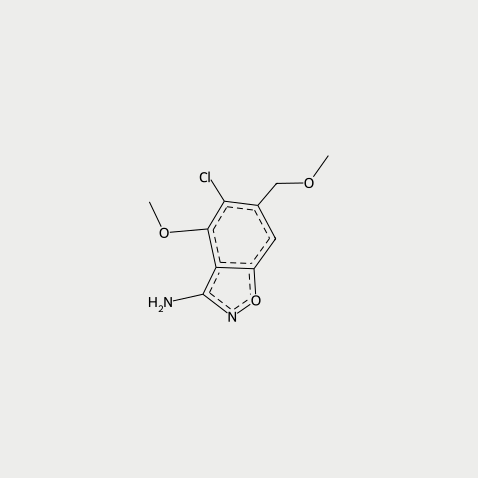 COCc1cc2onc(N)c2c(OC)c1Cl